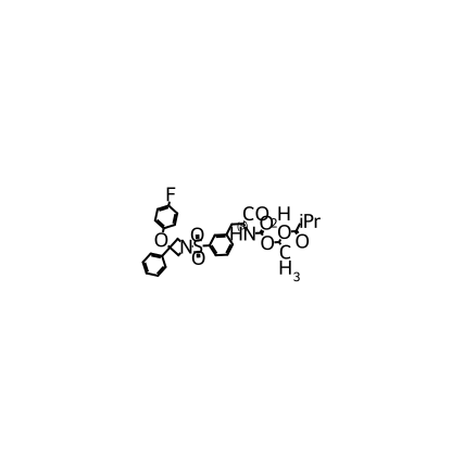 CC(OC(=O)N[C@@H](Cc1cccc(S(=O)(=O)N2CC(Oc3ccc(F)cc3)(c3ccccc3)C2)c1)C(=O)O)OC(=O)C(C)C